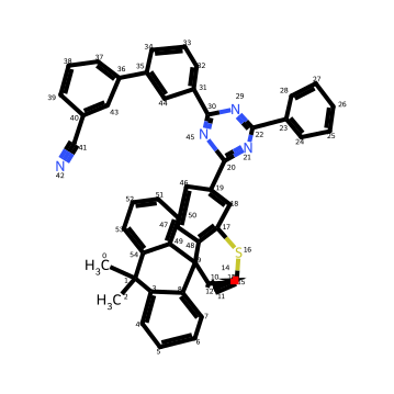 CC1(C)c2ccccc2C2(c3ccccc3Sc3cc(-c4nc(-c5ccccc5)nc(-c5cccc(-c6cccc(C#N)c6)c5)n4)ccc32)c2ccccc21